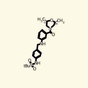 C[C@@H]1CN(C(=O)c2cccc(NCc3ccc(NS(=O)(=O)C(C)(C)C)cc3)c2)C[C@H](C)O1